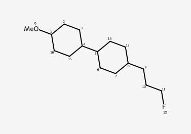 COC1CCC(C2CCC(CCCF)CC2)CC1